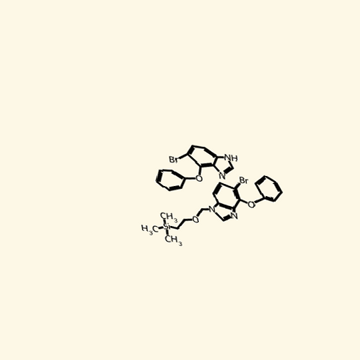 Brc1ccc2[nH]cnc2c1Oc1ccccc1.C[Si](C)(C)CCOCn1cnc2c(Oc3ccccc3)c(Br)ccc21